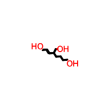 OCC=CC(CO)CCCCO